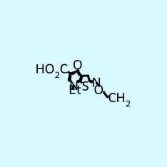 C=CCO/N=C1/Cc2c(n(CC)cc(C(=O)O)c2=O)S1